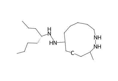 CCCC[C@H](CCC)NNC1CCCCCNNC(C)CCC1